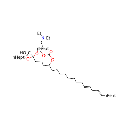 CCCCCC=CCC=CCCCCCCCCC(CCCC(OCCCCCCC)(OCCCCCCC)C(=O)O)OC(=O)OCCCN(CC)CC